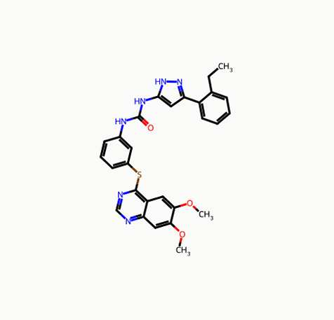 CCc1ccccc1-c1cc(NC(=O)Nc2cccc(Sc3ncnc4cc(OC)c(OC)cc34)c2)[nH]n1